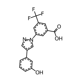 O=C(O)c1cc(-n2cc(-c3cccc(O)c3)cn2)cc(C(F)(F)F)c1